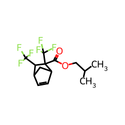 CC(C)COC(=O)C1(C(F)(F)F)C2C=CC(C2)C1C(F)(F)F